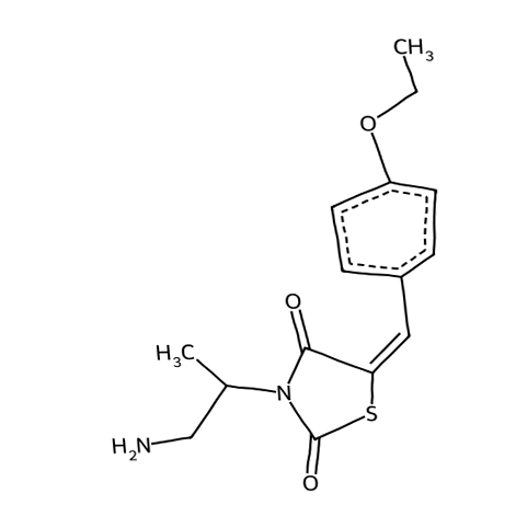 CCOc1ccc(/C=C2/SC(=O)N(C(C)CN)C2=O)cc1